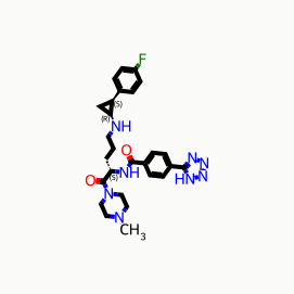 CN1CCN(C(=O)[C@H](CCCN[C@@H]2C[C@H]2c2ccc(F)cc2)NC(=O)c2ccc(-c3nnn[nH]3)cc2)CC1